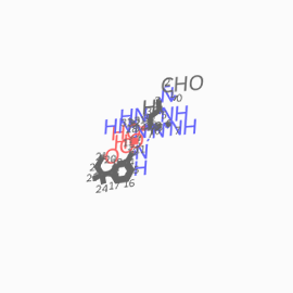 CN(C=O)CC1NC(=N)N2C[C@H](NC(=O)c3cccc4c3OCCC4(C)C)[C@](C)(O)C23[C@H]1NC(=N)N3O